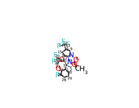 COCC1(N(C=O)c2ncc(C(F)(F)F)cc2OC(F)F)CCCOc2c(F)cccc21